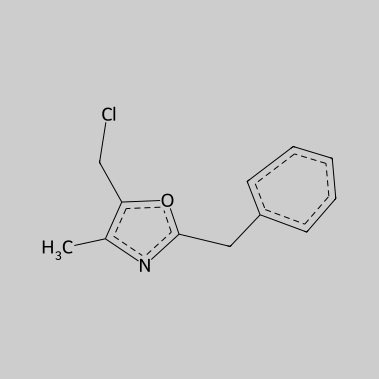 Cc1nc(Cc2ccccc2)oc1CCl